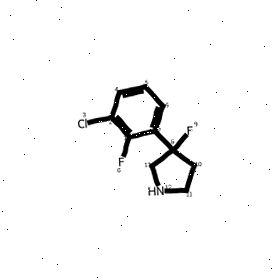 Fc1c(Cl)cccc1C1(F)CCNC1